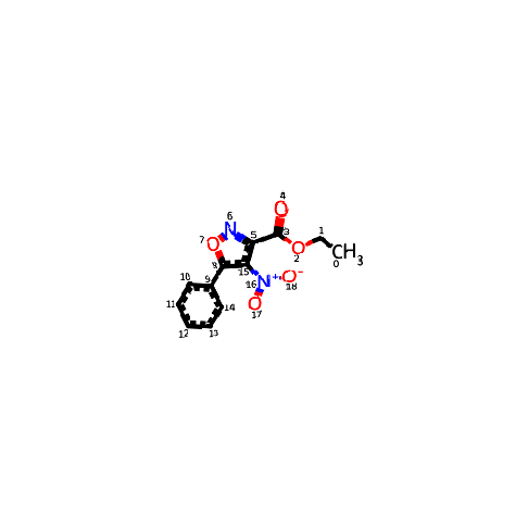 CCOC(=O)c1noc(-c2ccccc2)c1[N+](=O)[O-]